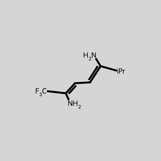 CC(C)/C(N)=C/C=C(\N)C(F)(F)F